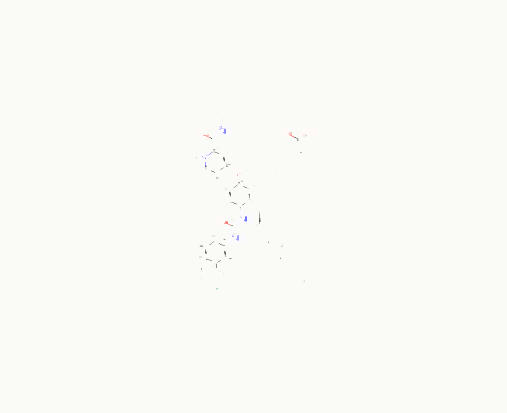 CCCCCCCC/C=C\CCCCCCCC(=O)O.CNC(=O)c1cc(Oc2ccc(NC(=O)Nc3ccc(Cl)c(C(F)(F)F)c3)cc2)ccn1